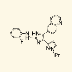 CC(C)n1ccc(-c2nc(CNc3ccccc3F)[nH]c2-c2ccc3ncccc3c2)n1